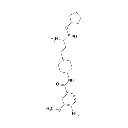 COc1cc(C(=O)NC2CCN(CC[C@H](N)C(=O)OC3CCCC3)CC2)ccc1N